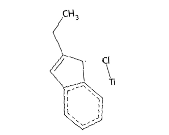 CCC1=Cc2ccccc2[CH]1.[Cl][Ti]